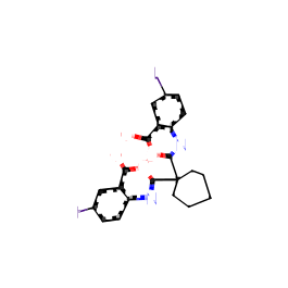 O=c1oc(C2(c3nc4ccc(I)cc4c(=O)o3)CCCCC2)nc2ccc(I)cc12